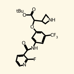 CC(C)(C)OC(=O)C(Oc1cc(NC(=O)c2cccnc2F)cc(C(F)(F)F)c1)C1CNC1